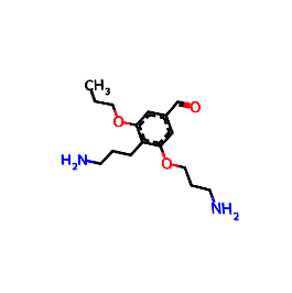 CCCOc1cc(C=O)cc(OCCCN)c1CCCN